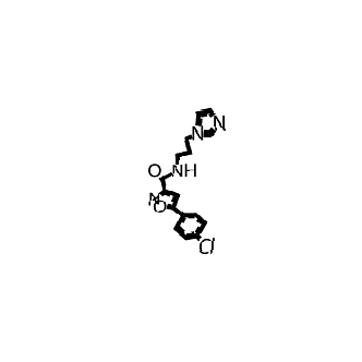 O=C(NCCCn1ccnc1)c1cc(-c2ccc(Cl)cc2)on1